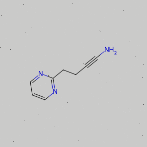 NC#CCCc1ncccn1